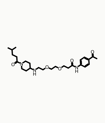 CC(=O)c1ccc(NC(=O)CCOCCOCCNC2CCN(C(=O)CCC(C)C)CC2)cc1